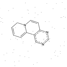 C1=CCN2C=Cc3ncncc3C2=C1